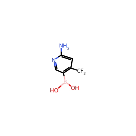 Nc1cc(C(F)(F)F)c(B(O)O)cn1